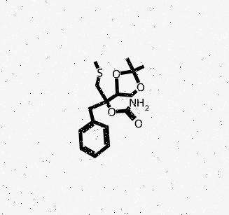 CSCC(Cc1ccccc1)(OC(N)=O)C1COC(C)(C)O1